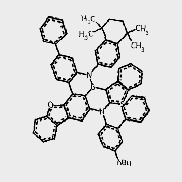 CCCCc1ccc(N2c3cc4c(oc5ccccc54)c4c3B(c3c2sc2ccccc32)N(c2ccc3c(c2)C(C)(C)CCC3(C)C)c2cc(-c3ccccc3)ccc2-4)c(-c2ccccc2)c1